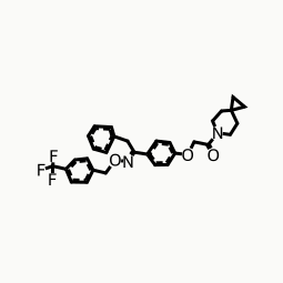 O=C(COc1ccc(C(Cc2ccccc2)=NOCc2ccc(C(F)(F)F)cc2)cc1)N1CCC2(CC1)CC2